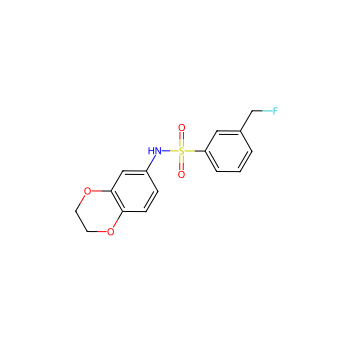 O=S(=O)(Nc1ccc2c(c1)OCCO2)c1cccc(CF)c1